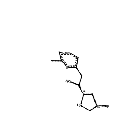 Cc1cccc(CC(O)[C@H]2C[C@@H](F)CN2)n1